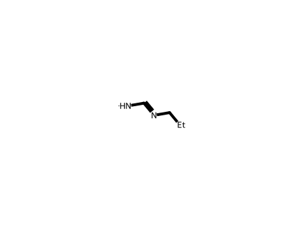 CCC/N=C/[NH]